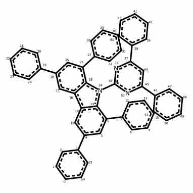 c1ccc(-c2cc(-c3ccccc3)c3c(c2)c2cc(-c4ccccc4)cc(-c4ccccc4)c2n3-c2nc(-c3ccccc3)cc(-c3ccccc3)n2)cc1